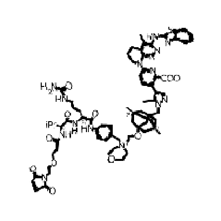 Cc1c(Nc2nc3ccccc3s2)nnc2c1CCCN2c1ccc(-c2cnn(CC34CC5(OCC[N+]6(Cc7ccc(NC(=O)[C@H](CCCNC(N)=O)NC(=O)[C@@H](NC(=O)CCOCCN8C(=O)C=CC8=O)C(C)C)cc7)CCOCC6)C[C@](C)(C3)C[C@](C)(C4)C5)c2C)c(C(=O)[O-])n1